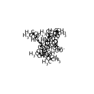 CC(C)(C)OC(=O)NCC[C@H](O)C(=O)N[C@@H]1C[C@@H](NC(=O)OC(C)(C)C)C(O[C@H]2OC(C(O)C[N+](=O)[O-])CCC2NC(=O)OC(C)(C)C)C(O)[C@H]1O[C@H]1OC2COC(C)(C)O[C@H]2[C@H](NC(=O)OC(C)(C)C)C1O